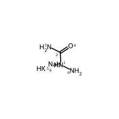 NNC(N)=O.[KH].[NaH]